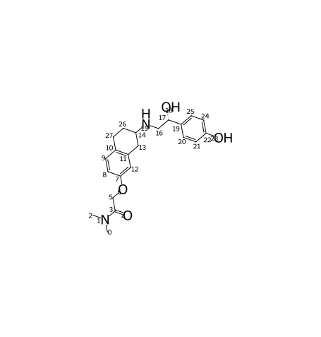 CN(C)C(=O)COc1ccc2c(c1)CC(NC[C@H](O)c1ccc(O)cc1)CC2